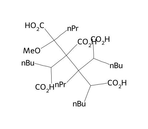 CCCCC(C(=O)O)C(CCC)(C(CCCC)C(=O)O)C(C(=O)O)(C(CCCC)C(=O)O)C(CCC)(OC)C(=O)O